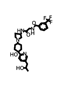 CC(O)Cc1ccc(C2(O)CCC(N3CCC(NC(=O)CNC(=O)c4cccc(C(F)(F)F)c4)C3)CC2)nc1